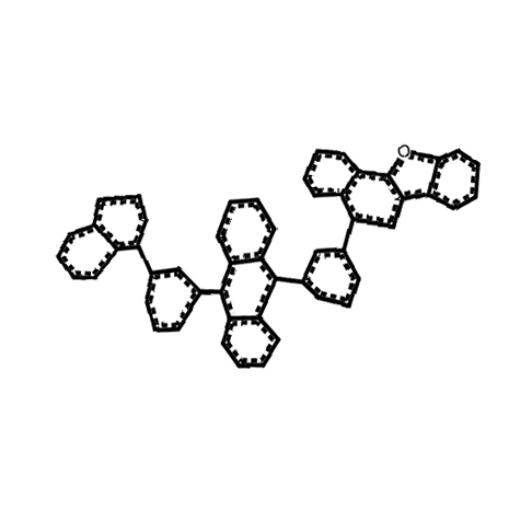 c1cc(-c2cccc3ccccc23)cc(-c2c3ccccc3c(-c3cccc(-c4cc5c6ccccc6oc5c5ccccc45)c3)c3ccccc23)c1